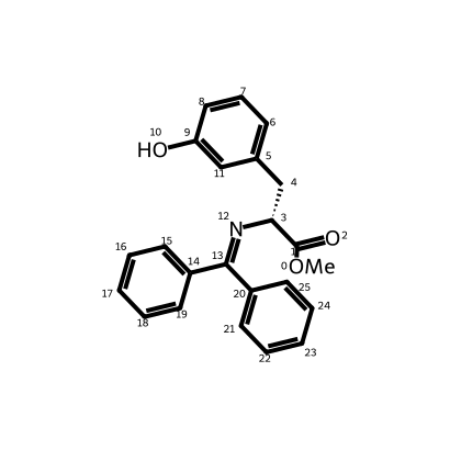 COC(=O)[C@@H](Cc1cccc(O)c1)N=C(c1ccccc1)c1ccccc1